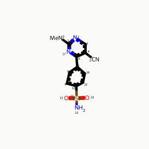 CNc1ncc(C#N)c(-c2ccc(S(N)(=O)=O)cc2)n1